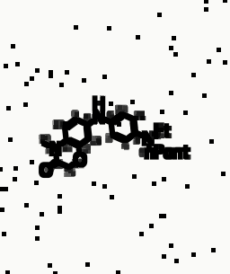 CCCCCN(CC)c1ccc(Nc2ccc3c(c2)OCC(=O)N3C)cc1